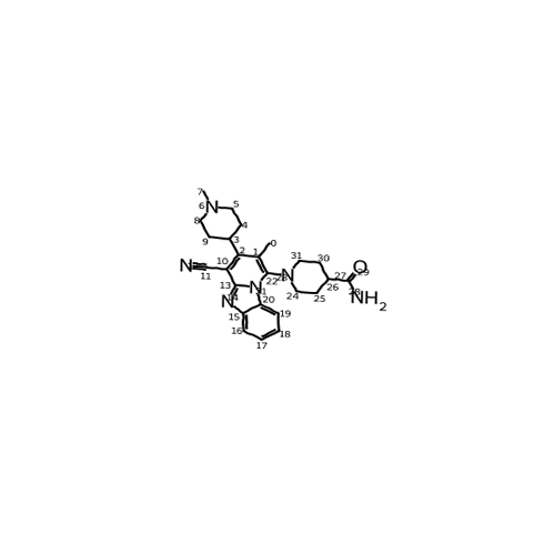 Cc1c(C2CCN(C)CC2)c(C#N)c2nc3ccccc3n2c1N1CCC(C(N)=O)CC1